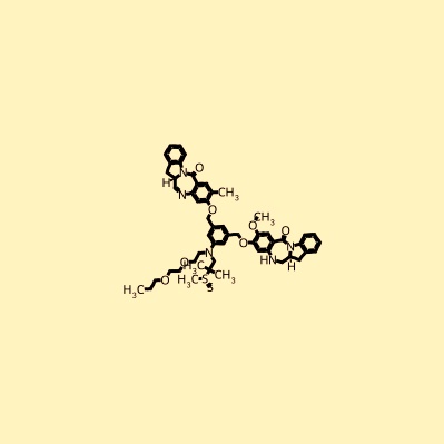 CCCOCCOCCN(CC(C)(C)S(C)=S)c1cc(COc2cc3c(cc2C)C(=O)N2c4ccccc4C[C@H]2C=N3)cc(COc2cc3c(cc2OC)C(=O)N2c4ccccc4C[C@H]2CN3)c1